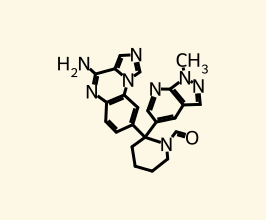 Cn1ncc2cc(C3(c4ccc5nc(N)c6cncn6c5c4)CCCCN3C=O)cnc21